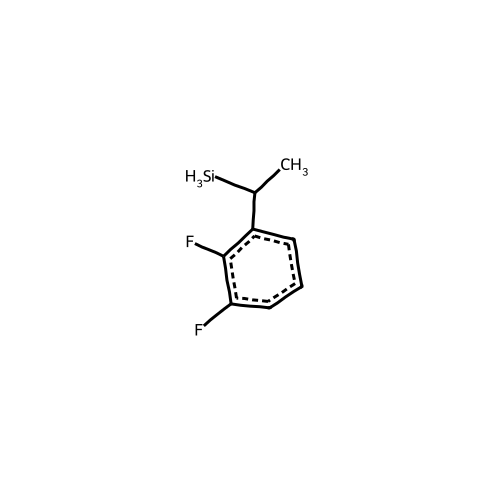 CC([SiH3])c1cccc(F)c1F